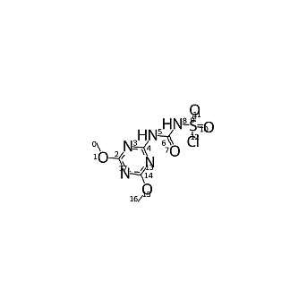 COc1nc(NC(=O)NS(=O)(=O)Cl)nc(OC)n1